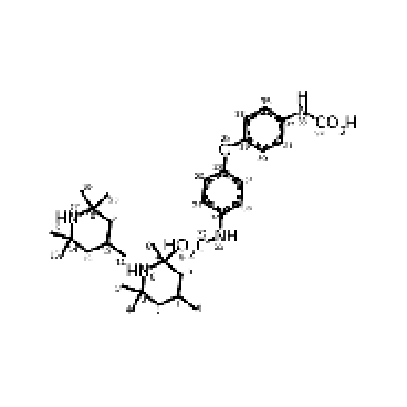 CC1CC(C)(C)NC(C)(C)C1.CC1CC(C)(C)NC(C)(C)C1.O=C(O)Nc1ccc(Oc2ccc(NC(=O)O)cc2)cc1